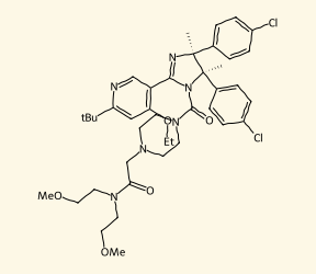 CCOc1cc(C(C)(C)C)ncc1C1=N[C@@](C)(c2ccc(Cl)cc2)[C@@](C)(c2ccc(Cl)cc2)N1C(=O)N1CCN(CC(=O)N(CCOC)CCOC)CC1